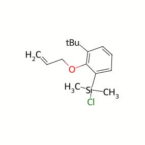 C=CCOc1c(C(C)(C)C)cccc1[Si](C)(C)Cl